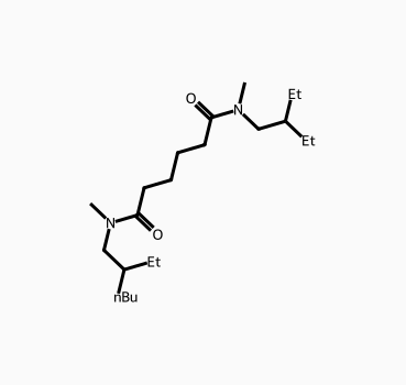 CCCCC(CC)CN(C)C(=O)CCCCC(=O)N(C)CC(CC)CC